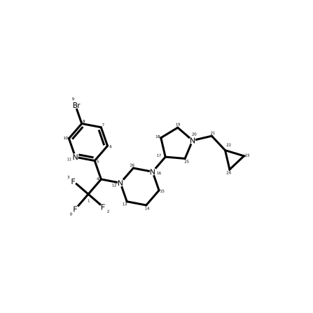 FC(F)(F)C(c1ccc(Br)cn1)N1CCCN(C2CCN(CC3CC3)C2)C1